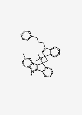 Cc1ccc2c(c1)c1c(n2C)-c2ccccc2C12CC1(C=C(CCCc3ccccc3)c3ccccc31)[Si]2(C)C